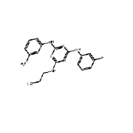 Nc1cccc(Nc2nc(NCCO)nc(Nc3cccc(F)c3)n2)c1